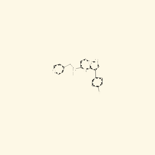 Fc1ccc(-c2cnn3ccc(NCc4ccncc4)nc23)cc1